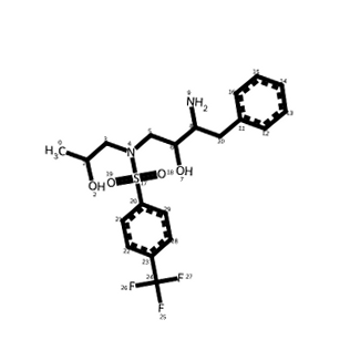 CC(O)CN(CC(O)C(N)Cc1ccccc1)S(=O)(=O)c1ccc(C(F)(F)F)cc1